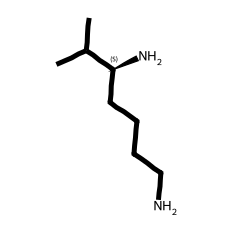 CC(C)[C@@H](N)CCCCN